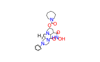 CN1CC(OC(=O)N2CCCCCCC2)CC(C(=O)NO)C1C(=O)N1CCN(c2ccccc2)CC1